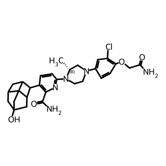 C[C@@H]1CN(c2ccc(OCC(N)=O)c(Cl)c2)CCN1c1ccc(C2C3CC4CC2CC(O)(C4)C3)c(C(N)=O)n1